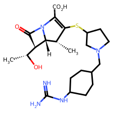 C[C@@H](O)[C@H]1C(=O)N2C(C(=O)O)=C(SC3CCN(CC4CCC(NC(=N)N)CC4)C3)[C@H](C)[C@H]12